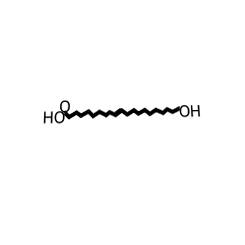 O=C(O)CCCCCCCCC=CCCCCCCCCCCO